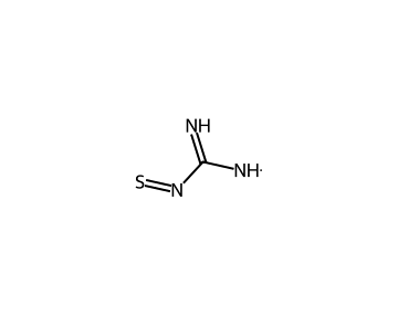 [NH]C(=N)N=S